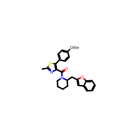 COc1ccc(-c2sc(C)nc2C(=O)N2CCCCC2Cc2cc3ccccc3o2)cc1